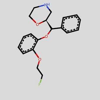 FCCOc1ccccc1OC(c1ccccc1)[C@@H]1CNCCO1